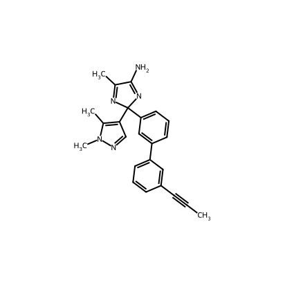 CC#Cc1cccc(-c2cccc(C3(c4cnn(C)c4C)N=C(C)C(N)=N3)c2)c1